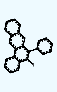 Ic1c(-c2ccccc2)c2cc3ccccc3cc2c2ccccc12